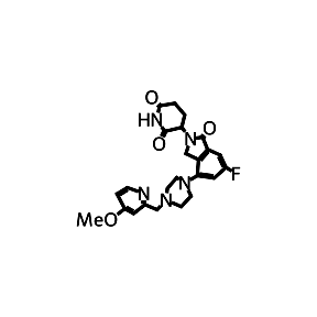 COc1ccnc(CN2CCN(c3cc(F)cc4c3CN(C3CCC(=O)NC3=O)C4=O)CC2)c1